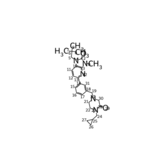 Cn1c(=O)n(CC(C)(C)C)c2ccc(-c3cccc(CN4CCN(CC5CC5)C(=O)C4)c3)nc21